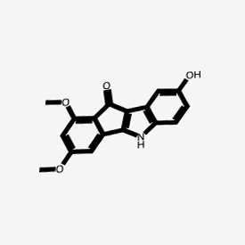 COc1cc(OC)c2c(c1)-c1[nH]c3ccc(O)cc3c1C2=O